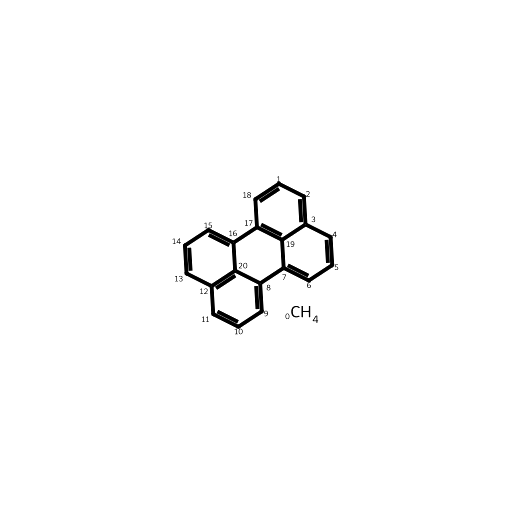 C.c1cc2cccc3c4cccc5cccc(c(c1)c23)c54